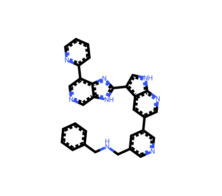 c1ccc(CNCc2cncc(-c3cnc4[nH]cc(-c5nc6c(-c7ccccn7)cncc6[nH]5)c4c3)c2)cc1